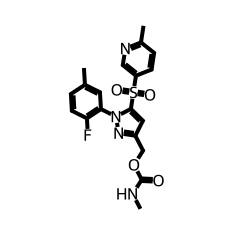 CNC(=O)OCc1cc(S(=O)(=O)c2ccc(C)nc2)n(-c2cc(C)ccc2F)n1